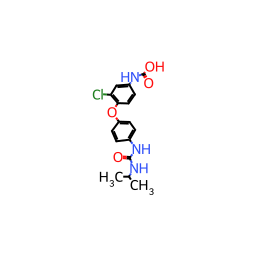 CC(C)NC(=O)Nc1ccc(Oc2ccc(NC(=O)O)cc2Cl)cc1